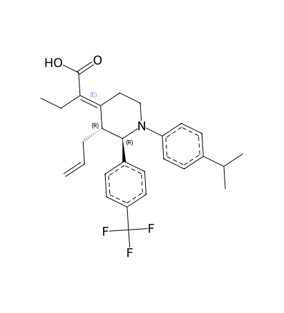 C=CC[C@@H]1/C(=C(\CC)C(=O)O)CCN(c2ccc(C(C)C)cc2)[C@H]1c1ccc(C(F)(F)F)cc1